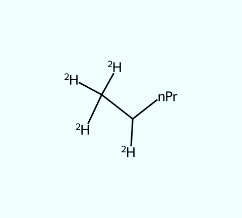 [2H]C(CCC)C([2H])([2H])[2H]